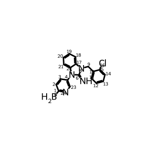 Bc1ccc(-n2c(=N)n(Cc3ccccc3Cl)c3ccccc32)cn1